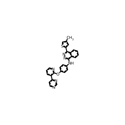 Cc1csc(-c2nnc(Nc3ccc(Oc4ncccc4-c4ccncn4)cc3)c3ccccc23)c1